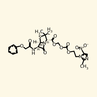 Cc1ncc([N+](=O)[O-])n1CCOC(=O)OCOC(=O)[C@@H]1N2C(=O)[C@@H](NC(=O)COc3ccccc3)[C@H]2SC1(C)C